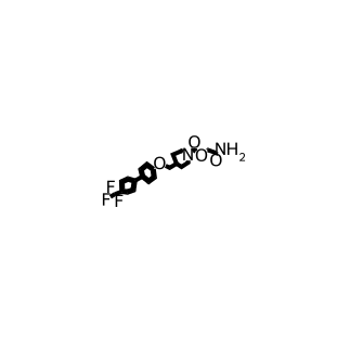 NC(=O)COC(=O)N1CCC(COc2ccc(-c3ccc(C(F)(F)F)cc3)cc2)CC1